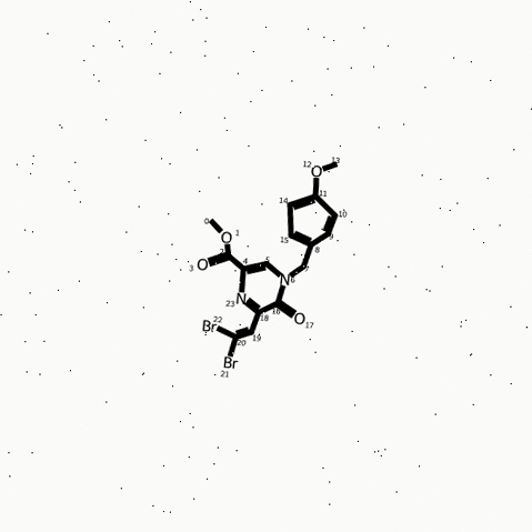 COC(=O)c1cn(Cc2ccc(OC)cc2)c(=O)c(C=C(Br)Br)n1